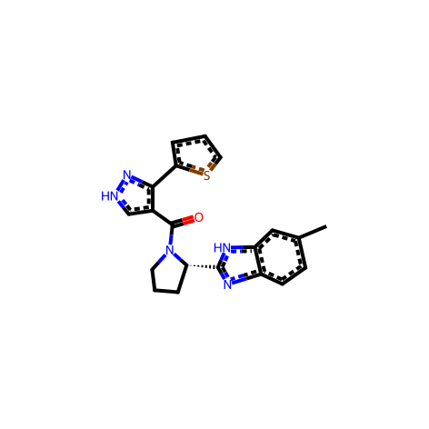 Cc1ccc2nc([C@@H]3CCCN3C(=O)c3c[nH]nc3-c3cccs3)[nH]c2c1